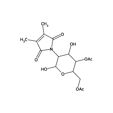 CC(=O)OCC1OC(O)C(N2C(=O)C(C)=C(C)C2=O)C(O)C1OC(C)=O